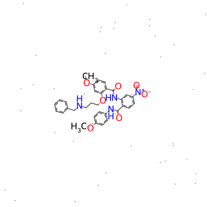 COc1ccc(NC(=O)c2ccc([N+](=O)[O-])cc2NC(=O)c2ccc(OC)cc2OCCCNCc2ccccc2)cc1